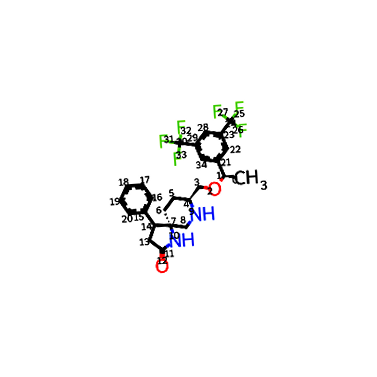 C[C@@H](OC[C@@H]1CC[C@]2(CN1)NC(=O)CC2c1ccccc1)c1cc(C(F)(F)F)cc(C(F)(F)F)c1